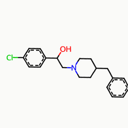 OC(CN1CCC(Cc2ccccc2)CC1)c1ccc(Cl)cc1